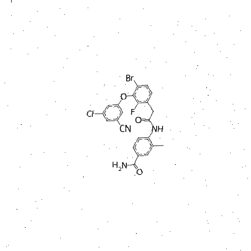 Cc1cc(C(N)=O)ccc1NC(=O)Cc1ccc(Br)c(Oc2cc(Cl)cc(C#N)c2)c1F